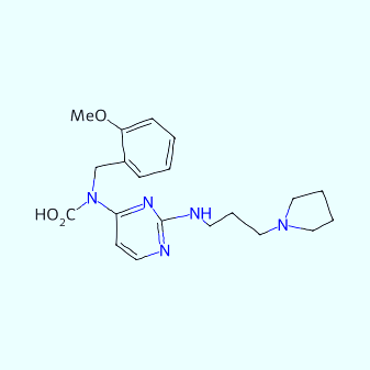 COc1ccccc1CN(C(=O)O)c1ccnc(NCCCN2CCCC2)n1